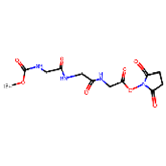 CC(C)(C)OC(=O)NCC(=O)NCC(=O)NCC(=O)ON1C(=O)CCC1=O